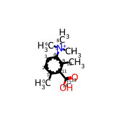 Cc1ccc([N+](C)(C)C)c(C)c1C(=O)O